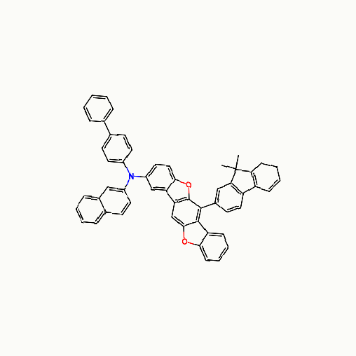 CC1(C)C2=C(C=CCC2)c2ccc(-c3c4oc5ccc(N(c6ccc(-c7ccccc7)cc6)c6ccc7ccccc7c6)cc5c4cc4oc5ccccc5c34)cc21